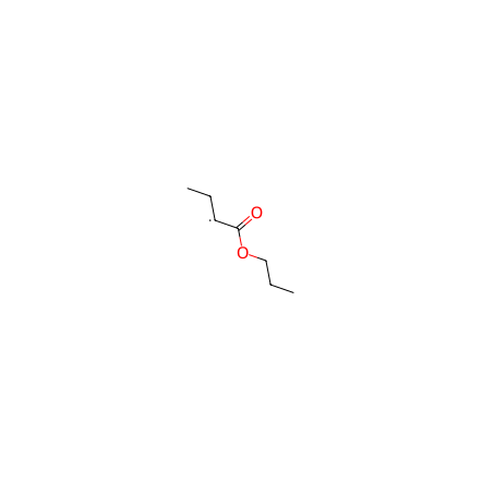 CC[CH]C(=O)OCCC